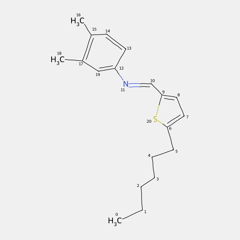 CCCCCCc1ccc(/C=N/c2ccc(C)c(C)c2)s1